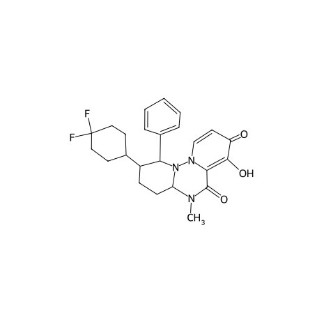 CN1C(=O)c2c(O)c(=O)ccn2N2C(c3ccccc3)C(C3CCC(F)(F)CC3)CCC12